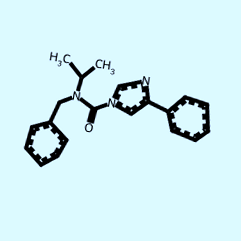 CC(C)N(Cc1ccccc1)C(=O)n1cnc(-c2ccccc2)c1